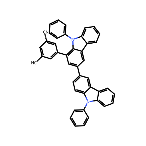 N#Cc1cc(C#N)cc(-c2cc(-c3ccc4c(c3)c3ccccc3n4-c3ccccc3)cc3c4ccccc4n(-c4ccccc4)c23)c1